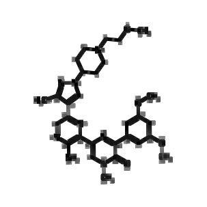 COCCN1CCC(n2cc(-c3cnc(N)c(-c4cn(C)c(=O)c(-c5cc(OC)cc(OC)c5)n4)n3)c(C)n2)CC1